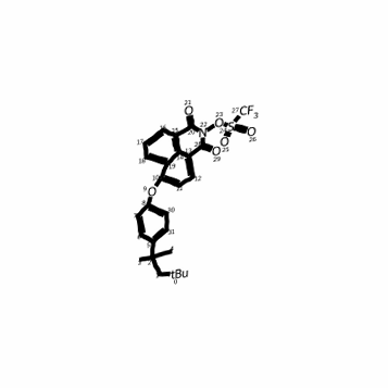 CC(C)(C)CC(C)(C)c1ccc(Oc2ccc3c4c(cccc24)C(=O)N(OS(=O)(=O)C(F)(F)F)C3=O)cc1